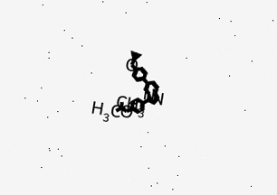 CC(C)Oc1ccc(-c2cnc3ccc(-c4ccc(OC5CC5)cc4)cn23)cc1